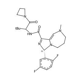 CN1C=C2C(C(=O)NC(C(=O)N3CCC3)C(C)(C)C)=N[C@@H](c3cc(F)ccc3F)N2CCC1